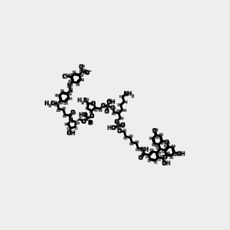 BC1CC(OP(=O)(O)OC[C@@H]2C[C@@H](O)CN2C(=O)CCCN(C)c2ccc(/N=N/c3ccc([N+](=O)[O-])cc3Cl)cc2)C(COP(=O)(O)OCC(CCCCN)COP(=O)(O)OCCCCCCNC(=O)c2ccc(C(=O)O)c(C3c4ccc(O)cc4OC4=CC(=O)C=CC43)c2)O1